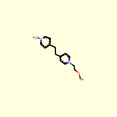 CCCOCC[n+]1ccc(CCc2cc[n+](C)cc2)cc1